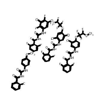 O=C(NC(=O)c1c(F)cccc1F)Nc1cc(Cl)c(F)c(Cl)c1F.O=C(NC(=O)c1c(F)cccc1F)Nc1cc(Cl)c(OC(F)(F)C(F)C(F)(F)F)cc1Cl.O=C(NC(=O)c1c(F)cccc1F)Nc1ccc(OC(F)(F)C(F)OC(F)(F)F)c(Cl)c1.O=C(NC(=O)c1ccccc1Cl)Nc1ccc(OC(F)(F)F)cc1